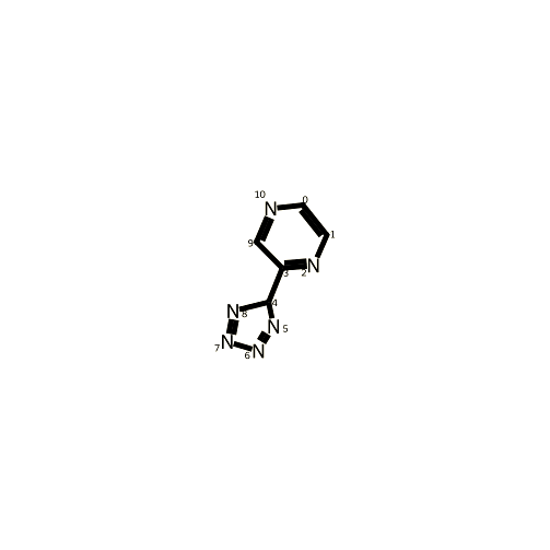 c1cnc(C2N=NN=N2)cn1